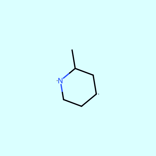 CC1C[CH]CC[N]1